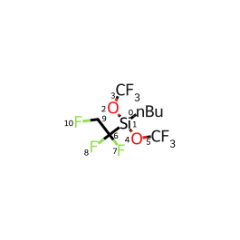 CCCC[Si](OC(F)(F)F)(OC(F)(F)F)C(F)(F)CF